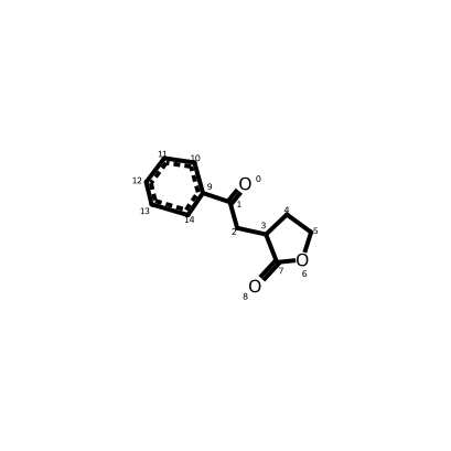 O=C(CC1CCOC1=O)c1ccccc1